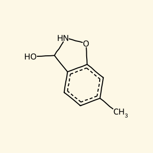 Cc1ccc2c(c1)ONC2O